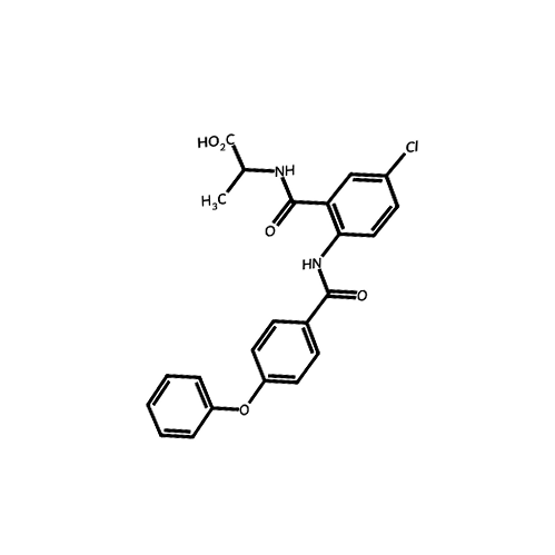 CC(NC(=O)c1cc(Cl)ccc1NC(=O)c1ccc(Oc2ccccc2)cc1)C(=O)O